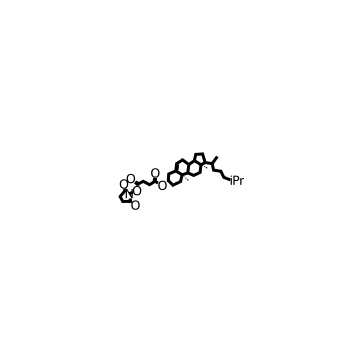 CC(C)CCCC(C)C1CCC2C3CC=C4C[C@@H](OC(=O)CCC(=O)ON5C(=O)CCC5=O)CC[C@]4(C)C3CC[C@]12C